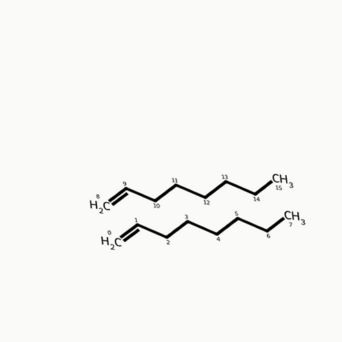 C=CCCCCCC.C=CCCCCCC